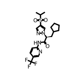 CC(C)S(=O)(=O)c1cnn([C@@H](CC2CCCC2)C(=O)Nc2ccc(C(F)(F)F)cn2)c1